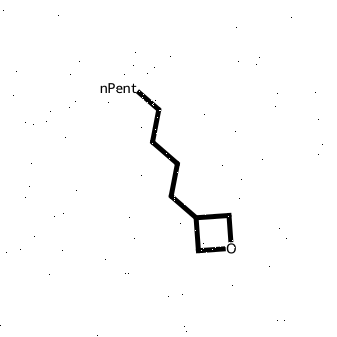 CCCCCCCCCC1COC1